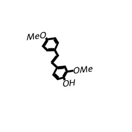 COc1ccc(/C=C/c2ccc(O)c(OC)c2)cc1